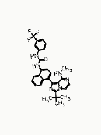 CNc1nccn2c(C(C)(C)C)nc(-c3ccc(NC(=O)Nc4cccc(C(F)(F)F)c4)c4ccccc34)c12